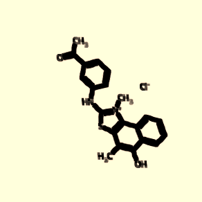 CC(=O)c1cccc(Nc2sc3c(C)c(O)c4ccccc4c3[n+]2C)c1.[Cl-]